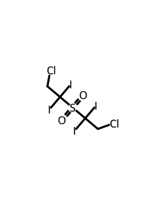 O=S(=O)(C(I)(I)CCl)C(I)(I)CCl